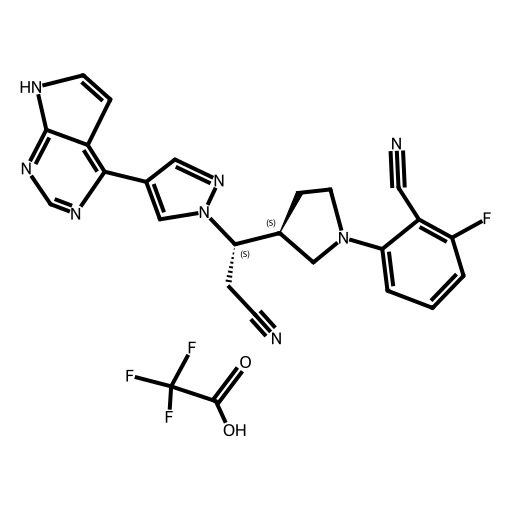 N#CC[C@@H]([C@H]1CCN(c2cccc(F)c2C#N)C1)n1cc(-c2ncnc3[nH]ccc23)cn1.O=C(O)C(F)(F)F